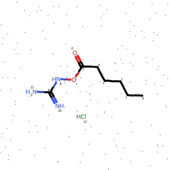 CCCCCC(=O)ONC(=N)N.Cl